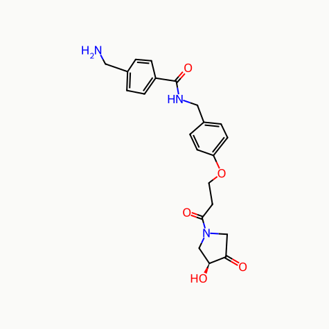 NCc1ccc(C(=O)NCc2ccc(OCCC(=O)N3CC(=O)[C@@H](O)C3)cc2)cc1